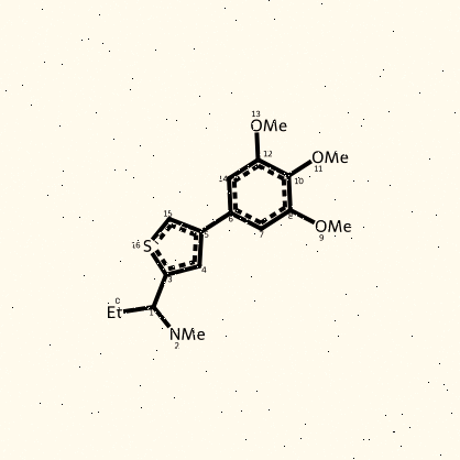 CCC(NC)c1cc(-c2cc(OC)c(OC)c(OC)c2)cs1